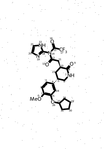 COc1ccc([C@H]2CNC(=O)[C@H](CC(=O)N(C(=O)C(F)(F)F)c3ncc[nH]3)C2)cc1OC1CCCC1